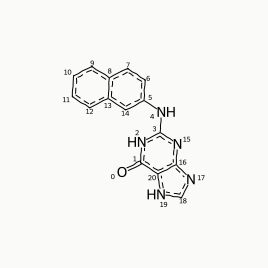 O=c1[nH]c(Nc2ccc3ccccc3c2)nc2nc[nH]c12